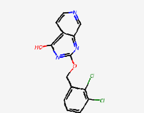 Oc1nc(OCc2cccc(Cl)c2Cl)nc2cnccc12